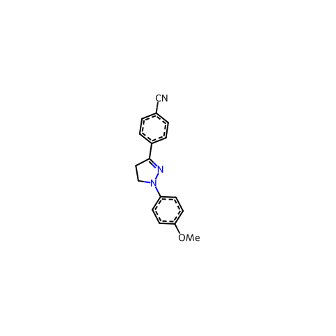 COc1ccc(N2CCC(c3ccc(C#N)cc3)=N2)cc1